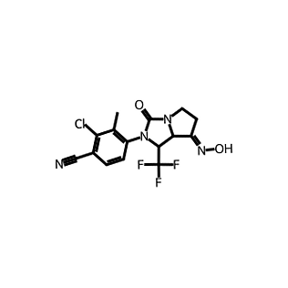 Cc1c(N2C(=O)N3CCC(=NO)C3C2C(F)(F)F)ccc(C#N)c1Cl